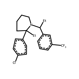 CCC(c1cccc(C(F)(F)F)c1)N1CCCCC1(CC)c1ccc(Cl)cc1